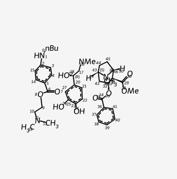 CCCCNc1ccc(C(=O)OCCN(C)C)cc1.CNC[C@H](O)c1ccc(O)c(O)c1.COC(=O)[C@H]1[C@@H](OC(=O)c2ccccc2)C[C@@H]2CC[C@H]1N2C